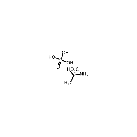 CC(N)C(=O)O.O=P(O)(O)O